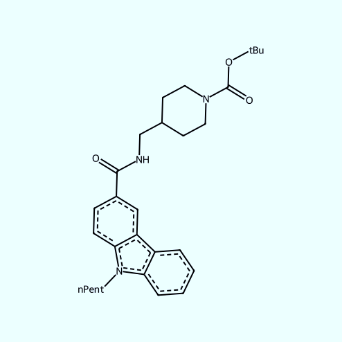 CCCCCn1c2ccccc2c2cc(C(=O)NCC3CCN(C(=O)OC(C)(C)C)CC3)ccc21